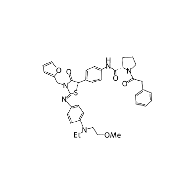 CCN(CCOC)c1ccc(/N=C2\SC(c3ccc(NC(=O)[C@@H]4CCCN4C(=O)Cc4ccccc4)cc3)C(=O)N2Cc2ccco2)cc1